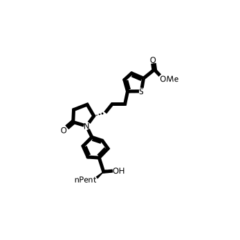 CCCCC[C@H](O)c1ccc(N2C(=O)CC[C@@H]2CCCc2ccc(C(=O)OC)s2)cc1